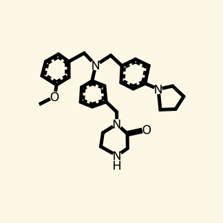 COc1cccc(CN(Cc2ccc(N3CCCC3)cc2)c2cccc(CN3CCNCC3=O)c2)c1